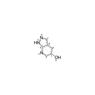 Oc1cnc2[nH]ncc2c1